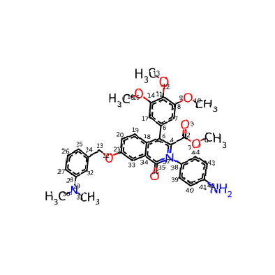 COC(=O)c1c(-c2cc(OC)c(OC)c(OC)c2)c2ccc(OCc3cccc(N(C)C)c3)cc2c(=O)n1-c1ccc(N)cc1